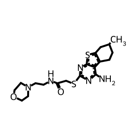 CC1CCc2c(sc3nc(SCC(=O)NCCN4CCOCC4)nc(N)c23)C1